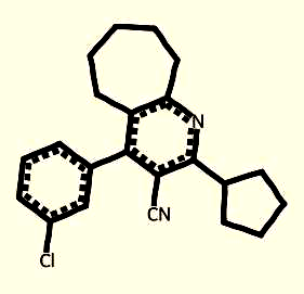 N#Cc1c(C2CCCC2)nc2c(c1-c1cccc(Cl)c1)CCCCC2